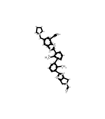 Cc1c(-c2nc3c(o2)CN(C=O)C3)cccc1-c1cccc(-c2nc3cc(CN4CCCC4)cc(C#N)c3o2)c1C